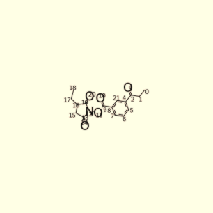 CCC(=O)c1cccc(C(=O)ON2C(=O)CC(CC)C2=O)c1